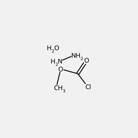 COC(=O)Cl.NN.O